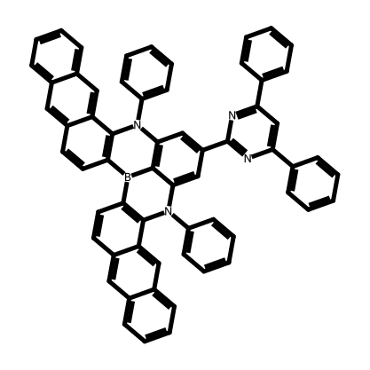 c1ccc(-c2cc(-c3ccccc3)nc(-c3cc4c5c(c3)N(c3ccccc3)c3c(ccc6cc7ccccc7cc36)B5c3ccc5cc6ccccc6cc5c3N4c3ccccc3)n2)cc1